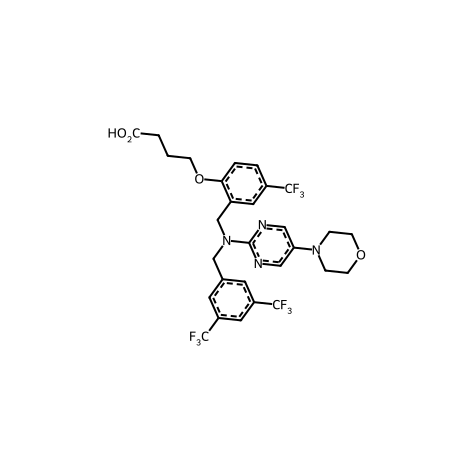 O=C(O)CCCOc1ccc(C(F)(F)F)cc1CN(Cc1cc(C(F)(F)F)cc(C(F)(F)F)c1)c1ncc(N2CCOCC2)cn1